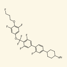 CCCC1CCC(c2ccc(-c3cc(F)c(C(F)(F)Oc4cc(F)c(OCCCF)c(F)c4)c(F)c3)c(F)c2)CC1